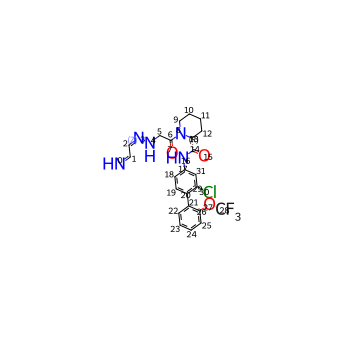 N=C/C=N\NCC(=O)N1CCCC[C@@H]1C(=O)Nc1ccc(-c2ccccc2OC(F)(F)F)c(Cl)c1